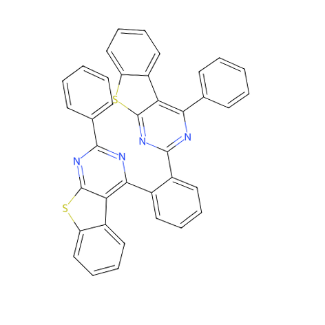 c1ccc(-c2nc(-c3ccccc3-c3nc(-c4ccccc4)c4c(n3)sc3ccccc34)c3c(n2)sc2ccccc23)cc1